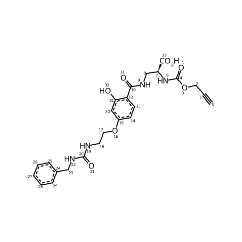 C#CCOC(=O)N[C@@H](CNC(=O)c1ccc(OCCNC(=O)NCc2ccccc2)cc1O)C(=O)O